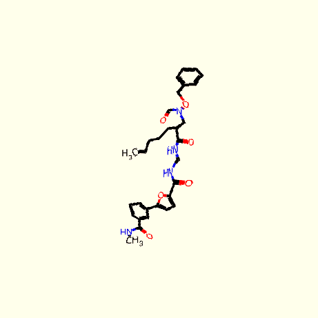 CCCCCC(CN(C=O)OCc1ccccc1)C(=O)NCNC(=O)c1ccc(-c2cccc(C(=O)NC)c2)o1